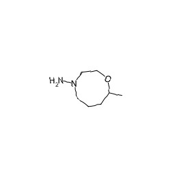 CC1CCCN(N)CCO1